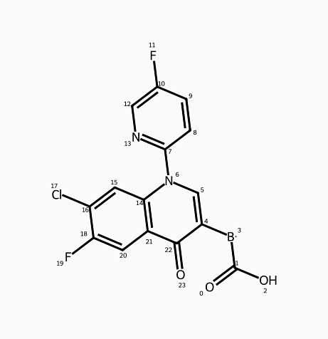 O=C(O)[B]c1cn(-c2ccc(F)cn2)c2cc(Cl)c(F)cc2c1=O